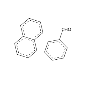 O=Cc1ccccc1.c1ccc2ccccc2c1